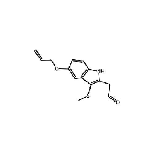 C=CCOc1ccc2[nH]c(CC=O)c(SC)c2c1